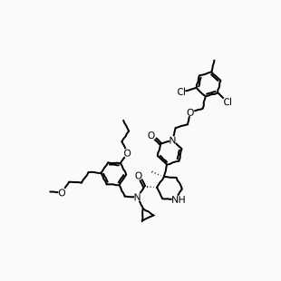 CCCOc1cc(CCCOC)cc(CN(C(=O)[C@H]2CNCC[C@]2(C)c2ccn(CCOCc3c(Cl)cc(C)cc3Cl)c(=O)c2)C2CC2)c1